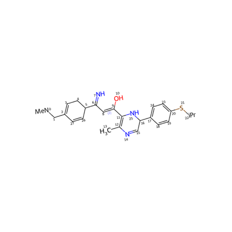 CNCC1=CCC(C(=N)/C=C(\O)C2=C(C)N=CC(c3ccc(SC(C)C)cc3)N2)C=C1